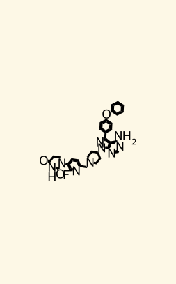 Nc1ncnc2c1c(-c1ccc(Oc3ccccc3)cc1)nn2C1CCN(Cc2ccc(N3CCC(=O)NC3=O)c(F)n2)CC1